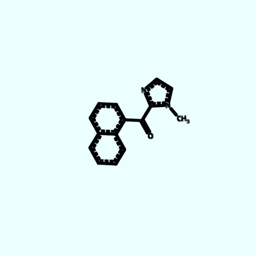 Cn1ccnc1C(=O)c1cccc2ccccc12